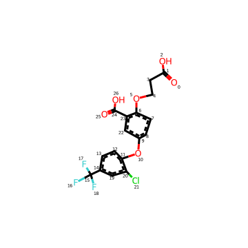 O=C(O)CCOc1ccc(Oc2ccc(C(F)(F)F)cc2Cl)cc1C(=O)O